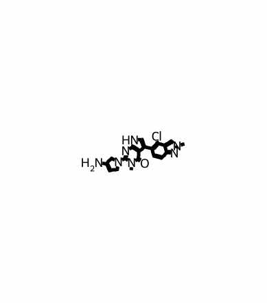 Cn1cc2c(Cl)c(-c3c[nH]c4nc(N5CC=C(N)C5)n(C)c(=O)c34)ccc2n1